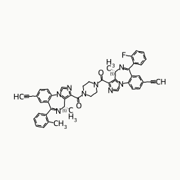 C#Cc1ccc2c(c1)C(c1ccccc1C)=N[C@@H](C)c1c(C(=O)N3CCN(C(=O)c4ncn5c4[C@H](C)N=C(c4ccccc4F)c4cc(C#C)ccc4-5)CC3)ncn1-2